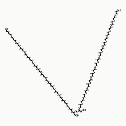 OCCOCCOCCOCCOCCOCCOCCOCCOCCOCCOCCOCCOCCOCCOCCOCCOCCOCCOCCOC(CO)SSC(CO)OCCOCCOCCOCCOCCOCCOCCOCCOCCOCCOCCOCCOCCOCCOCCOCCOCCOCCOCCO